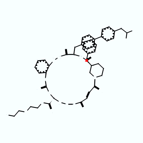 NCCOCCNC(=O)[C@@H]1CCNC(=O)/C=C/C(=O)N2CCC[C@](Cc3ccccc3)(C2)C(=O)NC(Cc2ccc(-c3ccc(CC(C(=O)O)C(=O)O)cc3)cc2)C(=O)NCc2ccccc2CC(=O)N1